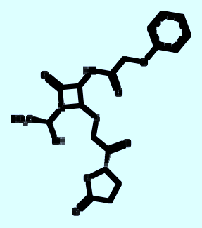 O=C(COc1ccccc1)NC1C(=O)N([C@@H](O)C(=O)O)C1SCC(=O)[C@@H]1CCC(=O)O1